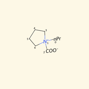 CCC[N+]1(C(=O)[O-])CCCC1